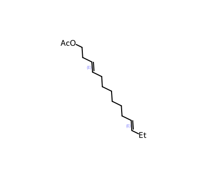 CC/C=C/CCCCCC/C=C/CCOC(C)=O